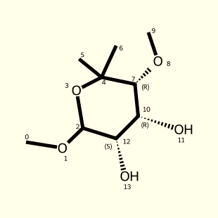 COC1OC(C)(C)[C@H](OC)[C@H](O)[C@@H]1O